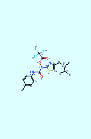 Cc1ccc(NC(=O)N(OC(=O)C(F)(F)F)c2nc(C[As](C)C(C)C)cs2)cc1